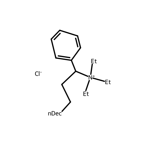 CCCCCCCCCCCCC(c1ccccc1)[N+](CC)(CC)CC.[Cl-]